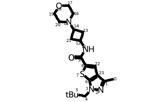 Cc1nn(CC(C)(C)C)c2sc(C(=O)NC3CC(N4CCOCC4)C3)cc12